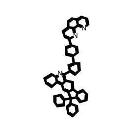 c1ccc(C2(c3ccccc3)c3ccccc3-c3cc4c(-c5cccc(-c6ccc(-c7ccc8ccc9cccnc9c8n7)cc6)c5)nc5ccccc5c4cc32)cc1